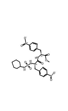 COC(=O)[C@H](Cc1ccc([N+](=O)[O-])cc1)NC(=O)[C@@H](Cc1ccc([N+](=O)[O-])cc1)NS(=O)(=O)NC1CCCCC1